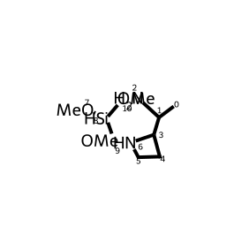 CC(N)C1CCN1.CO[SiH](OC)OC